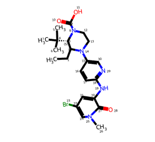 CCC1[C@H](C(C)(C)C)N(C(=O)O)CCN1c1ccc(Nc2cc(Br)cn(C)c2=O)nc1